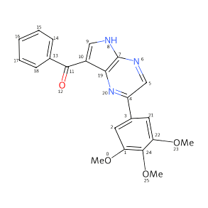 COc1cc(-c2cnc3[nH]cc(C(=O)c4ccccc4)c3n2)cc(OC)c1OC